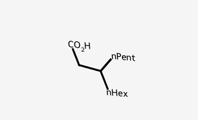 CCCCCCC(CCCCC)CC(=O)O